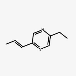 CC=Cc1cnc(CC)cn1